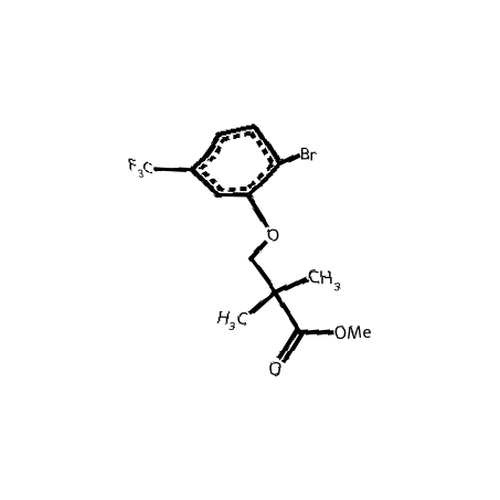 COC(=O)C(C)(C)COc1cc(C(F)(F)F)ccc1Br